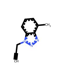 C#CCn1nnc2c(C)cccc21